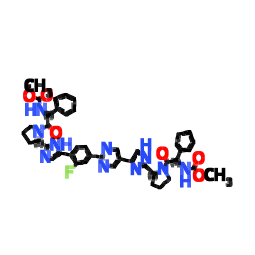 COC(=O)N[C@@H](C(=O)N1CCC[C@H]1c1nc(-c2cnc(-c3ccc(-c4cnc([C@@H]5CCCN5C(=O)[C@H](NC(=O)OC)c5ccccc5)[nH]4)c(F)c3)nc2)c[nH]1)c1ccccc1